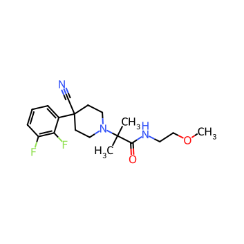 COCCNC(=O)C(C)(C)N1CCC(C#N)(c2cccc(F)c2F)CC1